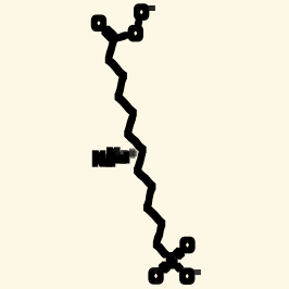 O=C(CCCCCCCCCCCS(=O)(=O)[O-])O[O-].[Na+].[Na+]